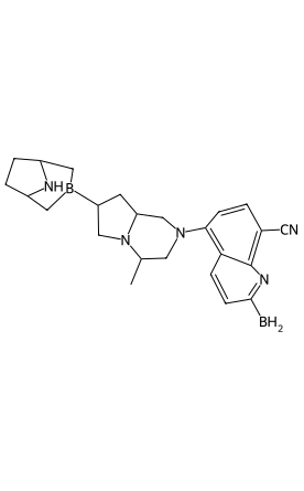 Bc1ccc2c(N3CC(C)N4CC(B5CC6CCC(C5)N6)CC4C3)ccc(C#N)c2n1